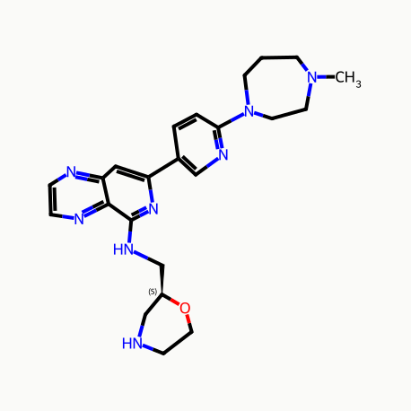 CN1CCCN(c2ccc(-c3cc4nccnc4c(NC[C@@H]4CNCCO4)n3)cn2)CC1